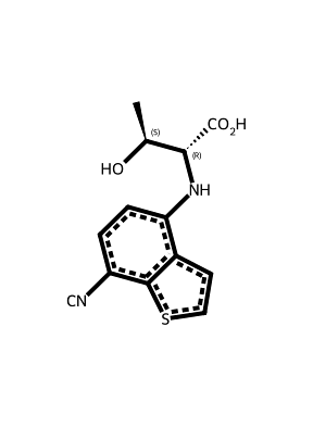 [C-]#[N+]c1ccc(N[C@@H](C(=O)O)[C@H](C)O)c2ccsc12